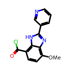 COc1ccc(C(=O)Cl)c2[nH]c(-c3cccnc3)nc12